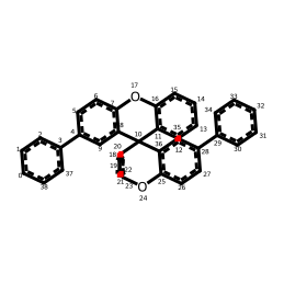 c1ccc(-c2ccc3c(c2)C2(c4ccccc4O3)c3ccccc3Oc3ccc(-c4ccccc4)cc32)cc1